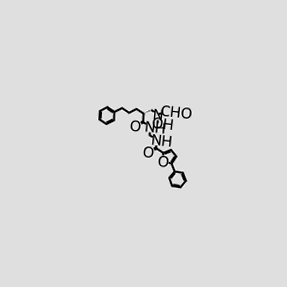 O=CN(O)C[C@@H](CCCc1ccccc1)C(=O)NCNC(=O)c1ccc(-c2ccccc2)o1